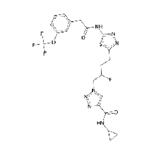 O=C(Cc1cccc(OC(F)(F)F)c1)Nc1nnc(CCC(F)Cn2cc(C(=O)NC3CC3)nn2)s1